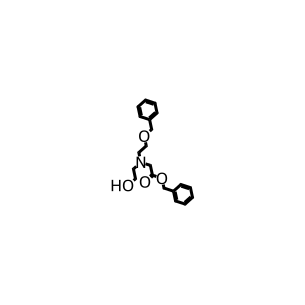 O=C(CN(CCO)CCOCc1ccccc1)OCc1ccccc1